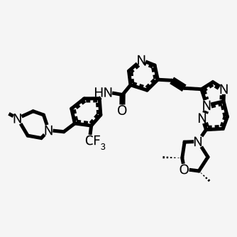 C[C@@H]1CN(c2ccc3ncc(C#Cc4cncc(C(=O)Nc5ccc(CN6CCN(C)CC6)c(C(F)(F)F)c5)c4)n3n2)C[C@H](C)O1